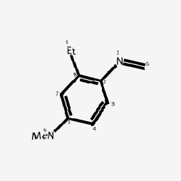 C=Nc1ccc(NC)cc1CC